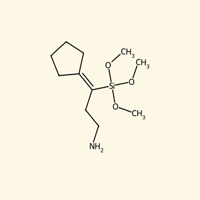 CO[Si](OC)(OC)C(CCN)=C1CCCC1